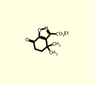 CCOC(=O)c1noc2c1C(C)(C)CCC2=O